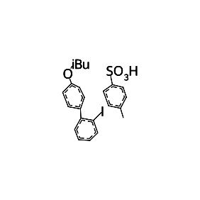 CCC(C)Oc1ccc(-c2ccccc2I)cc1.Cc1ccc(S(=O)(=O)O)cc1